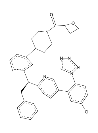 O=C(C1CCO1)N1CCC(c2cccc([C@H](Cc3ccccc3)c3ccc(-c4cc(Cl)ccc4-n4cnnn4)cn3)c2)CC1